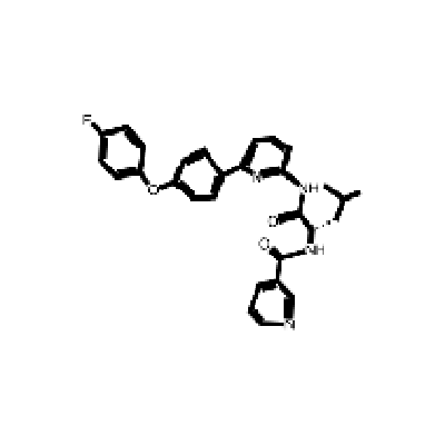 CC(C)C[C@H](NC(=O)c1cccnc1)C(=O)Nc1cccc(-c2ccc(Oc3ccc(F)cc3)cc2)n1